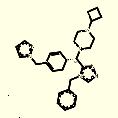 C1=CC([C@@H](c2nncn2Cc2ccccc2)N2CCN(C3CCC3)CC2)CC=C1Cn1cccn1